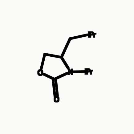 CC(C)CC1COC(=O)N1C(C)C